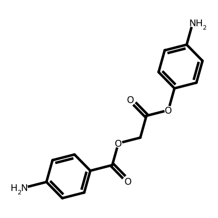 Nc1ccc(OC(=O)COC(=O)c2ccc(N)cc2)cc1